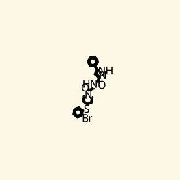 O=C(NCC(=O)N1CCC(Sc2ccccc2Br)CC1)c1cc(-c2ccccc2)[nH]n1